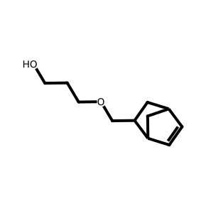 OCCCOCC1CC2C=CC1C2